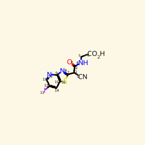 N#CC(C(=O)NCC(=O)O)c1nc2ncc(I)cc2s1